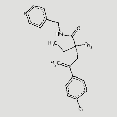 C=C(CC(C)(CC)C(=O)NCc1ccncc1)c1ccc(Cl)cc1